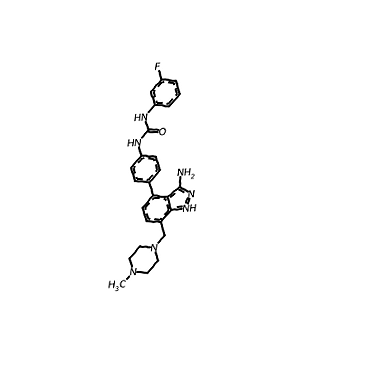 CN1CCN(Cc2ccc(-c3ccc(NC(=O)Nc4cccc(F)c4)cc3)c3c(N)n[nH]c23)CC1